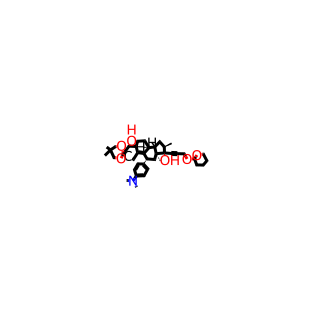 C[C@@H]1C[C@H]2[C@@H]3CC[C@@]4(O)CC5(CCC4=C3[C@@H](c3ccc(N(C)C)cc3)C[C@]2(C)[C@]1(O)C#CCOC1CCCCO1)OCC(C)(C)CO5